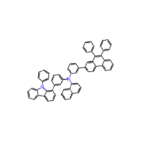 c1ccc(-c2c(-c3ccccc3)c3cc(-c4cccc(N(c5cccc(-c6cccc7c8ccccc8n(-c8ccccc8)c67)c5)c5cccc6ccccc56)c4)ccc3c3ccccc23)cc1